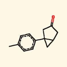 Cc1ccc(C23CC(=O)CC2C3)cc1